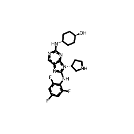 O[C@H]1CC[C@H](Nc2ncc3nc(Nc4c(F)cc(F)cc4F)n([C@@H]4CCNC4)c3n2)CC1